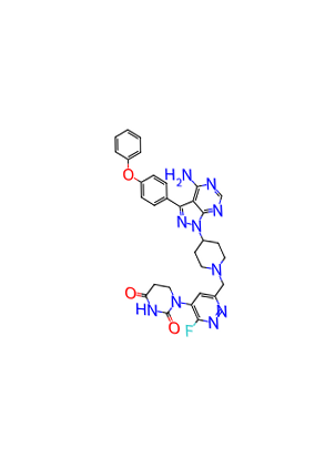 Nc1ncnc2c1c(-c1ccc(Oc3ccccc3)cc1)nn2C1CCN(Cc2cc(N3CCC(=O)NC3=O)c(F)nn2)CC1